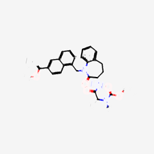 C=C(OCCCC)c1ccc2c(CN3C(=O)[C@@H](NC(=O)[C@H](C)N(C)C(=O)OC(C)(C)C)CCc4ccccc43)c(OC)ccc2c1